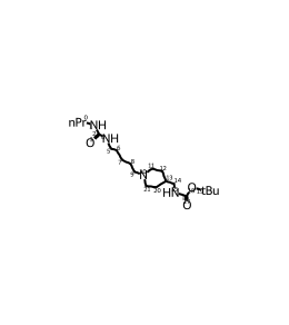 CCCNC(=O)NCCCCCN1CCC(CNC(=O)OC(C)(C)C)CC1